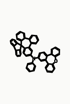 c1ccc(N(c2ccc3c(c2)-c2ccccc2Oc2ccccc2-3)c2ccc3c(c2)-c2ccccc2-c2ccccc2C32c3ccccc3-c3ccccc32)cc1